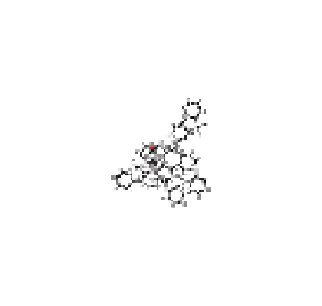 CC1(C)c2ccccc2-c2ccc(N(c3cccc(-c4cccc5c4C(C)(c4ccccc4)c4ccccc4-5)c3)c3cccc4c3-c3ccccc3C4(c3ccccc3)c3ccccc3)cc21